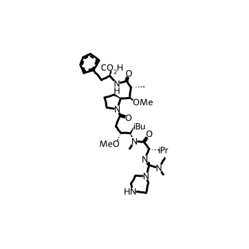 CC[C@H](C)[C@@H]([C@@H](CC(=O)N1CCC[C@H]1[C@H](OC)[C@@H](C)C(=O)N[C@@H](Cc1ccccc1)C(=O)O)OC)N(C)C(=O)[C@@H](/N=C(\N(C)C)N1CCNCC1)C(C)C